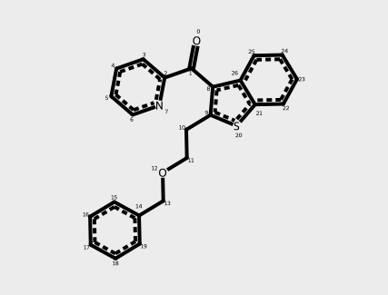 O=C(c1ccccn1)c1c(CCOCc2ccccc2)sc2ccccc12